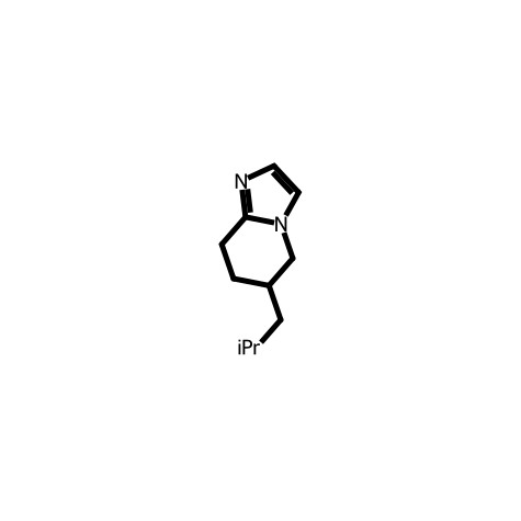 CC(C)CC1CCc2nccn2C1